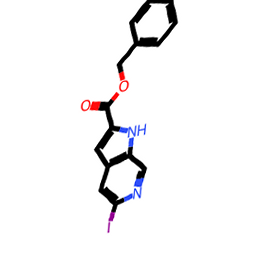 O=C(OCc1ccccc1)c1cc2cc(I)ncc2[nH]1